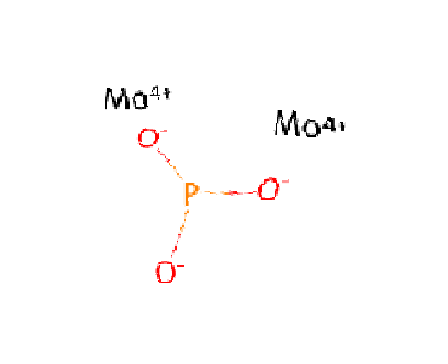 [Mo+4].[Mo+4].[O-]P([O-])[O-]